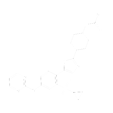 NC(=O)OC1CCC(c2ncc(-c3ccc(Nc4ncccn4)cc3S(=O)(=O)C3CC3)s2)CC1